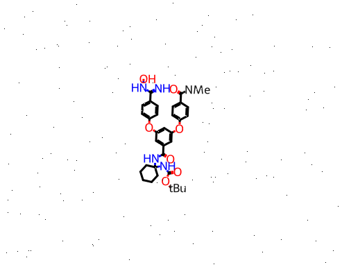 CNC(=O)c1ccc(Oc2cc(Oc3ccc(C(=N)NO)cc3)cc(C(=O)NC3(NC(=O)OC(C)(C)C)CCCCC3)c2)cc1